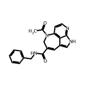 CC(=O)N1CC(C(=O)NCc2ccccc2)=Cc2c[nH]c3nccc1c23